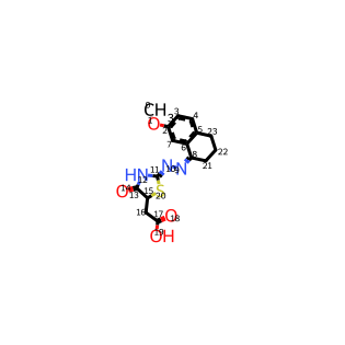 COc1ccc2c(c1)/C(=N\N=C1\NC(=O)C(CC(=O)O)S1)CCC2